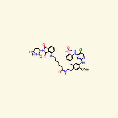 COc1cc(CCN(C)C(=O)CCCCCNc2cccc3c2C(=O)N(C2CCC(=O)NC2=O)C3=O)c(C)cc1Nc1ncc(Cl)c(Nc2ccccc2P(C)(C)=O)n1